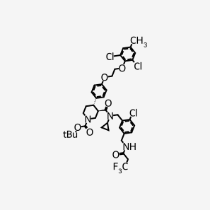 Cc1cc(Cl)c(OCCOc2ccc([C@H]3CCN(C(=O)OC(C)(C)C)C[C@@H]3C(=O)N(Cc3cc(CNC(=O)CC(F)(F)F)ccc3Cl)C3CC3)cc2)c(Cl)c1